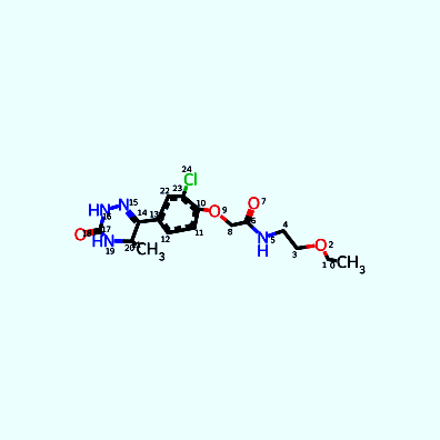 CCOCCNC(=O)COc1ccc(C2=NNC(=O)NC2C)cc1Cl